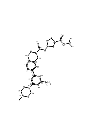 CC(C)OC(=O)N1CCC(CC(=O)N2CCc3ccc(-c4cc(N5CCN(C)CC5)nc(N)n4)cc3C2)C1